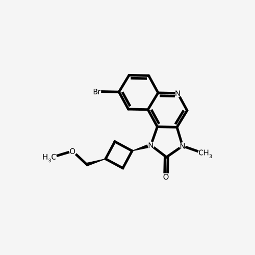 COC[C@H]1C[C@@H](n2c(=O)n(C)c3cnc4ccc(Br)cc4c32)C1